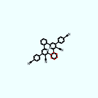 N#Cc1ccc(-c2cc(-c3ccccc3-c3cc(-c4ccc(C#N)cc4)c(C#N)c(-c4ccccc4)n3)nc(-c3ccccc3)c2C#N)cc1